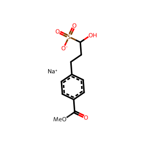 COC(=O)c1ccc(CCC(O)S(=O)(=O)[O-])cc1.[Na+]